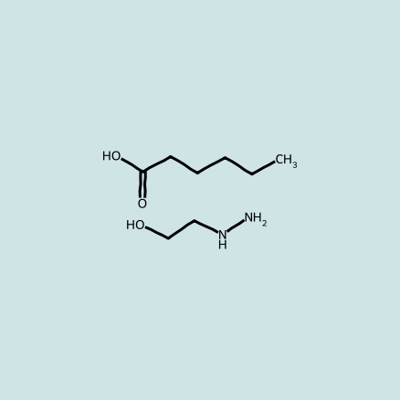 CCCCCC(=O)O.NNCCO